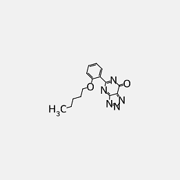 CCCCCOc1ccccc1C1=NC(=O)C2=NN=NC2=N1